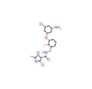 Cc1nc(Cl)c(C(=O)NCc2cccc(Oc3cc(N)cc(Cl)c3)c2F)[nH]1